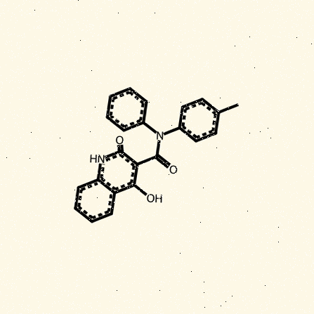 Cc1ccc(N(C(=O)c2c(O)c3ccccc3[nH]c2=O)c2ccccc2)cc1